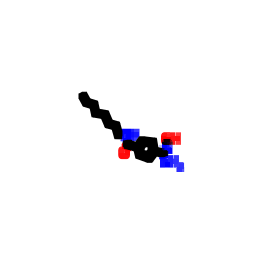 CCCCCCCCNC(=O)c1ccc(/C(N)=N\O)cc1